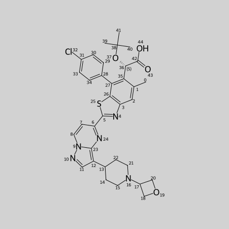 Cc1cc2nc(-c3ccn4ncc(C5CCN(C6COC6)CC5)c4n3)sc2c(-c2ccc(Cl)cc2)c1[C@H](OC(C)(C)C)C(=O)O